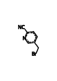 N#Cc1ccc(CBr)cn1